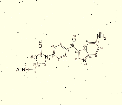 CC(=O)NC[C@H]1CN(c2ccc(C(=O)c3cnc4ccc(N)cn34)cc2)C(=O)O1